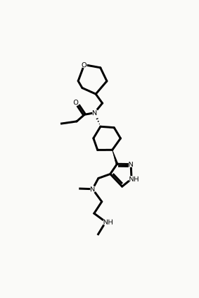 CCC(=O)N(CC1CCOCC1)[C@H]1CC[C@H](c2n[nH]cc2CN(C)CCNC)CC1